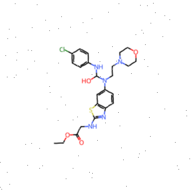 CCOC(=O)CNc1nc2ccc(N(CCN3CCOCC3)C(O)Nc3ccc(Cl)cc3)cc2s1